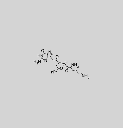 CCCC(=O)CN(CCNC(=O)[C@@H](N)CCCCN)C(=O)Cn1cnc2c(=O)[nH]c(N)nc21